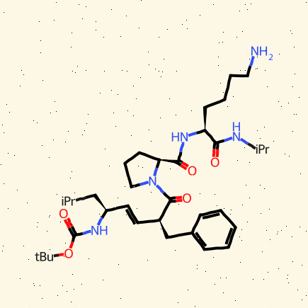 CC(C)C[C@@H](/C=C/[C@H](Cc1ccccc1)C(=O)N1CCC[C@H]1C(=O)N[C@@H](CCCCN)C(=O)NC(C)C)NC(=O)OC(C)(C)C